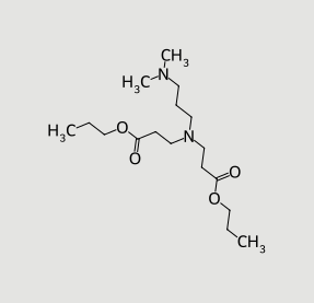 CCCOC(=O)CCN(CCCN(C)C)CCC(=O)OCCC